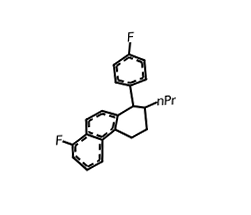 CCCC1CCc2c(ccc3c(F)cccc23)C1c1ccc(F)cc1